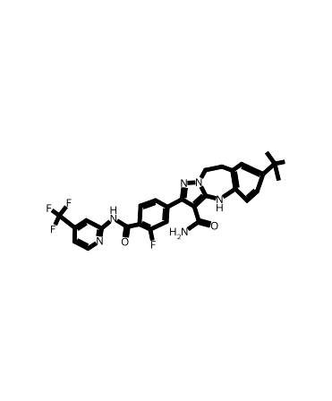 CC(C)(C)c1ccc2c(c1)CCn1nc(-c3ccc(C(=O)Nc4cc(C(F)(F)F)ccn4)c(F)c3)c(C(N)=O)c1N2